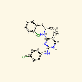 O=C(O)C(Cc1ccccc1Cl)Nc1nc(Nc2ccc(Cl)cc2)ncc1[N+](=O)[O-]